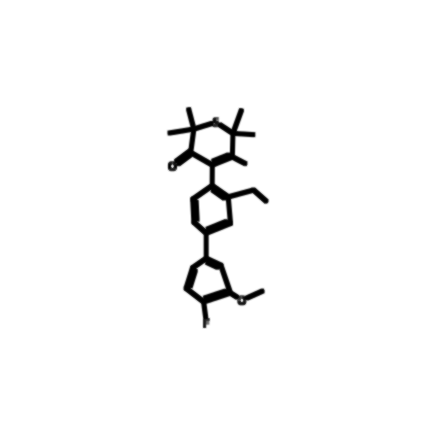 CCc1cc(-c2ccc(F)c(OC)c2)ccc1C1=C(C)C(C)(C)SC(C)(C)C1=O